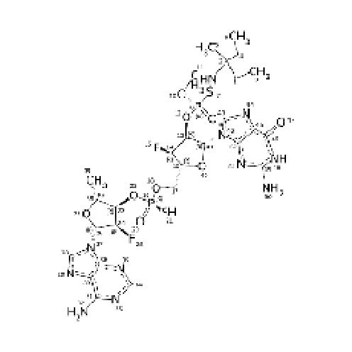 CCC(C)(CC)NS[P@](=O)(OC)O[C@@H]1[C@H](F)[C@@H](CO[P@@](=O)(S)O[C@H]2[C@@H](F)[C@H](n3cnc4c(N)ncnc43)O[C@@H]2C)O[C@H]1n1cnc2c(=O)[nH]c(N)nc21